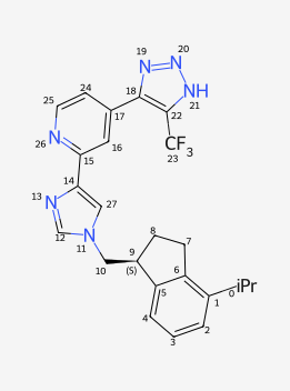 CC(C)c1cccc2c1CC[C@@H]2Cn1cnc(-c2cc(-c3nn[nH]c3C(F)(F)F)ccn2)c1